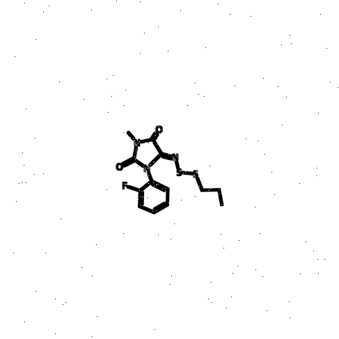 CCCSS/N=C1/C(=O)N(C)C(=O)N1c1ccccc1F